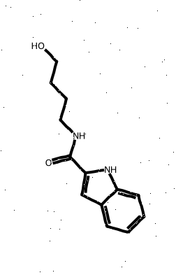 O=C(NCCCCO)c1cc2ccccc2[nH]1